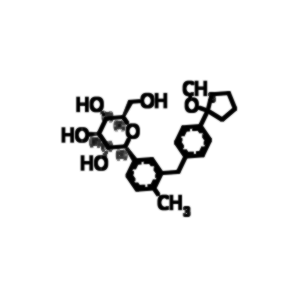 COC1(c2ccc(Cc3cc([C@@H]4O[C@H](CO)[C@@H](O)[C@H](O)[C@H]4O)ccc3C)cc2)CCCC1